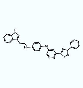 c1ccc(-c2noc(-c3cc(Nc4ccc(NCCc5c[nH]c6ccccc56)cc4)ccn3)n2)cc1